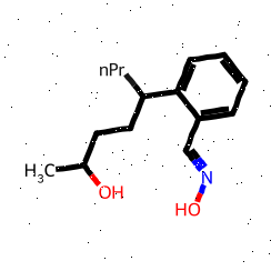 CCCC(CCC(C)O)c1ccccc1C=NO